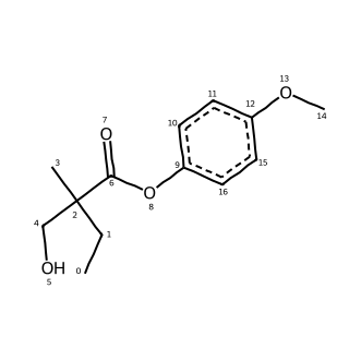 CCC(C)(CO)C(=O)Oc1ccc(OC)cc1